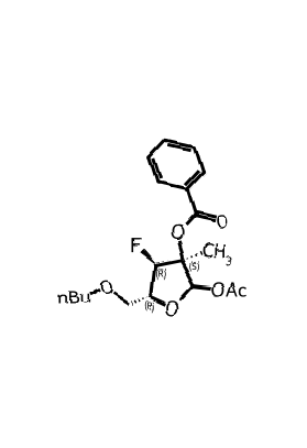 CCCCOC[C@H]1OC(OC(C)=O)[C@](C)(OC(=O)c2ccccc2)[C@@H]1F